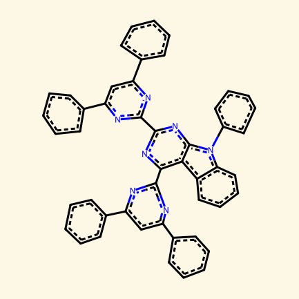 c1ccc(-c2cc(-c3ccccc3)nc(-c3nc(-c4nc(-c5ccccc5)cc(-c5ccccc5)n4)c4c5ccccc5n(-c5ccccc5)c4n3)n2)cc1